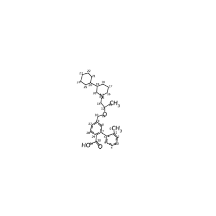 Cc1ccccc1-c1cc(COC(C)CN2CCCC(C3CCCCC3)C2)ccc1C(=O)O